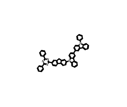 c1ccc(-c2nc(-c3ccccc3)nc(-c3ccc4c(c3)Cc3cc(-n5c6ccccc6c6cc(-c7ccc8c(c7)c7ccccc7n8-c7ccccc7)ccc65)ccc3-4)n2)cc1